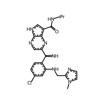 CC(C)NC(=O)c1c[nH]c2ncc(C(=N)c3ccc(Cl)cc3NCc3nccn3C)nc12